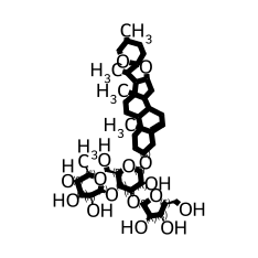 CC1CCC2(OC1)OC1CC3C4CC=C5C[C@@H](O[C@@H]6O[C@H](CO)[C@@H](O[C@@H]7O[C@@H](C)[C@@H](O)[C@@H](O)[C@H]7O)[C@H](O[C@@H]7O[C@@H](CO)[C@H](O)[C@H]7O)[C@H]6O)CCC5(C)C4CCC3(C)C1C2C